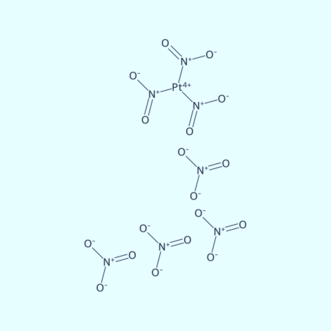 O=[N+]([O-])[O-].O=[N+]([O-])[O-].O=[N+]([O-])[O-].O=[N+]([O-])[O-].O=[N+]([O-])[Pt+4]([N+](=O)[O-])[N+](=O)[O-]